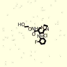 O=C(NOCCO)c1cn2ccnc2c(Cl)c1Nc1ccccc1F